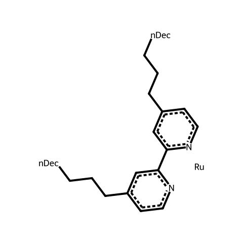 CCCCCCCCCCCCCc1ccnc(-c2cc(CCCCCCCCCCCCC)ccn2)c1.[Ru]